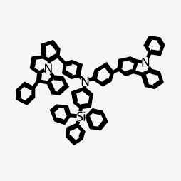 c1ccc(-c2c3ccccc3n3c2ccc2cccc(-c4ccc(N(c5ccc(-c6ccc7c(c6)c6ccccc6n7-c6ccccc6)cc5)c5ccc([Si](c6ccccc6)(c6ccccc6)c6ccccc6)cc5)cc4)c23)cc1